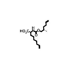 C=CCCCCC[C@H](NC(=O)OC[C@@H](C)CCC=C)C(=O)O